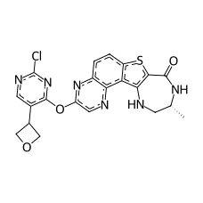 C[C@@H]1CNc2c(sc3ccc4nc(Oc5nc(Cl)ncc5C5COC5)cnc4c23)C(=O)N1